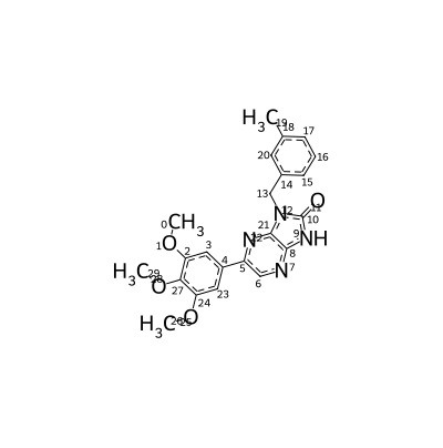 COc1cc(-c2cnc3[nH]c(=O)n(Cc4cccc(C)c4)c3n2)cc(OC)c1OC